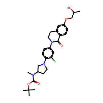 CC(O)COc1ccc2c(c1)CCN(c1ccc(N3CCC(N(C)C(=O)OC(C)(C)C)C3)c(F)c1)C2=O